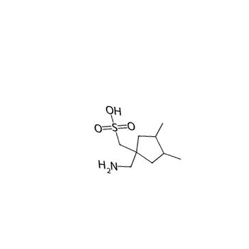 CC1CC(CN)(CS(=O)(=O)O)CC1C